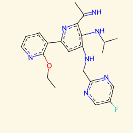 CCOc1ncccc1-c1cc(NCc2ncc(F)cn2)c(NC(C)C)c(C(C)=N)n1